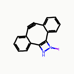 In1[nH]c2c1-c1ccccc1C#Cc1ccccc1-2